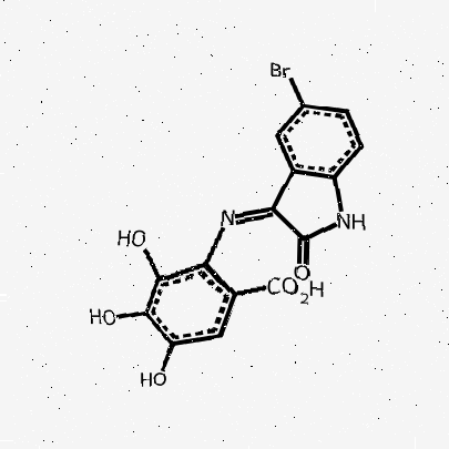 O=C1Nc2ccc(Br)cc2/C1=N/c1c(C(=O)O)cc(O)c(O)c1O